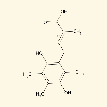 C/C(=C\Cc1c(C)c(O)c(C)c(C)c1O)C(=O)O